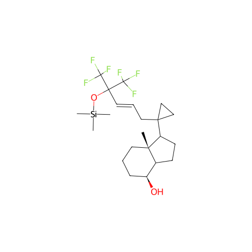 C[C@]12CCC[C@H](O)C1CCC2C1(C/C=C/C(O[Si](C)(C)C)(C(F)(F)F)C(F)(F)F)CC1